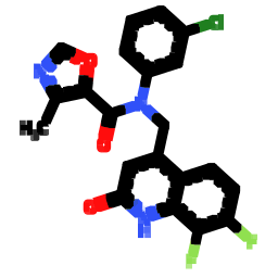 Cc1ncoc1C(=O)N(Cc1cc(=O)[nH]c2c(F)c(F)ccc12)c1cccc(Cl)c1